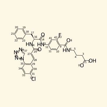 O=C(O)CCCNC(=O)c1ccc(NC(=O)[C@H](Cc2ccccc2)NC(=O)C=Cc2cc(Cl)ccc2-n2cnnn2)cc1F